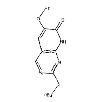 CCCCSc1ncc2cc(OCC)c(=O)[nH]c2n1